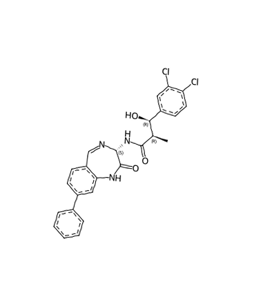 C[C@@H](C(=O)N[C@H]1N=Cc2ccc(-c3ccccc3)cc2NC1=O)[C@@H](O)c1ccc(Cl)c(Cl)c1